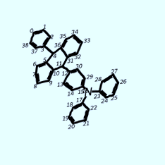 c1ccc(C2c3ccccc3C(c3ccc(N(c4ccccc4)c4ccccc4)cc3)c3ccccc32)cc1